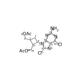 CC(=O)OCC1CC(n2c(Cl)nc3c(Cl)nc(N)nc32)C1COC(C)=O